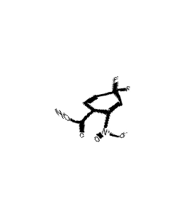 O=C(O)C1C=CC(F)(F)C=C1[N+](=O)[O-]